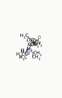 C=C/C(C)=C\C(C)/C(=C\C(=N/C)C1=CC(=O)C(=C)CC(/C=C\C(=C/C)N2CCC(CC3CCC3)C(=C)[C@H](C)C2)=N1)C(=C)CC